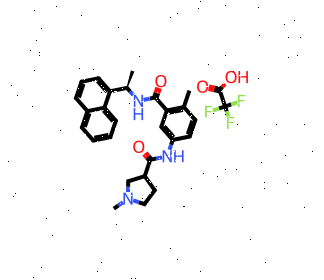 Cc1ccc(NC(=O)C2CCN(C)C2)cc1C(=O)N[C@H](C)c1cccc2ccccc12.O=C(O)C(F)(F)F